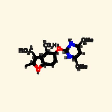 CCOC(=O)c1c(C)oc2ccc(Oc3nc(OC)cc(OC)n3)c(C(=O)O)c12